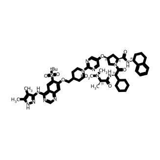 Cc1[nH]nc(Nc2ncnc3cc(OCC4CCN(c5ncc(O[C@H]6C[C@@H](C(=O)N[C@@H]7CCCc8ccccc87)N(C(=O)[C@@H](NC(=O)[C@H](C)N(C)C(=O)O)C7CCCCC7)C6)cn5)CC4)c(S(=O)(=O)C(C)(C)C)cc23)c1C